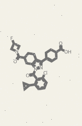 O=C(O)C1CC=C(c2nn(C(=O)c3c(Cl)cccc3C3CC3)c3c2CCC(C(=O)N2CC(F)C2)C3)CC1